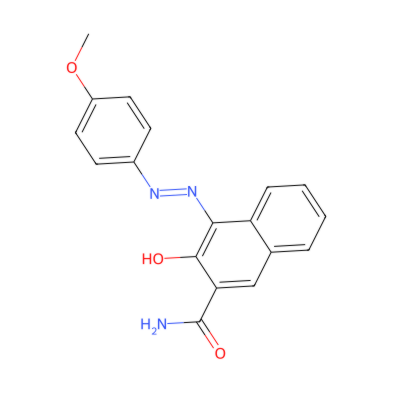 COc1ccc(N=Nc2c(O)c(C(N)=O)cc3ccccc23)cc1